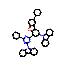 c1ccc(-c2ccc3oc4c(-c5nc(-c6ccccc6)nc(-n6c7ccccc7c7ccccc76)n5)cc(-n5c6ccccc6c6ccccc65)cc4c3c2)cc1